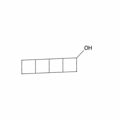 OC1CC2C1C1C3CCC3C21